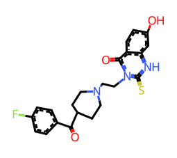 O=C(c1ccc(F)cc1)C1CCN(CCn2c(=S)[nH]c3cc(O)ccc3c2=O)CC1